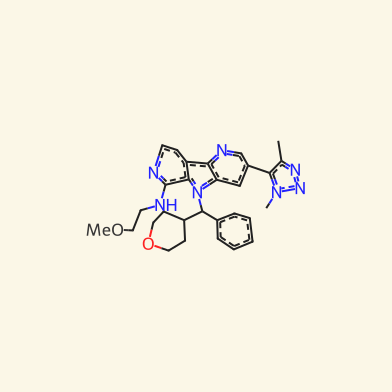 COCCNc1nccc2c3ncc(-c4c(C)nnn4C)cc3n(C(c3ccccc3)C3CCOCC3)c12